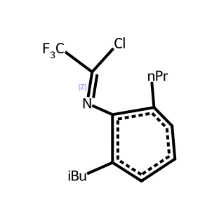 CCCc1cccc(C(C)CC)c1/N=C(\Cl)C(F)(F)F